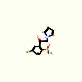 C[S+]([O-])c1ccc(Br)cc1C(=O)Cn1cccc1